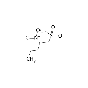 CCCC(CS(=O)(=O)Cl)[N+](=O)[O-]